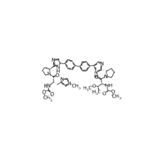 COC(=O)N[C@@H](Cc1cn(C)cn1)C(=O)N1CCC[C@H]1c1ncc(-c2ccc(-c3ccc(-c4cnc([C@@H]5CCCN5C(=O)[C@@H](NC(=O)OC)[C@@H](C)OC)[nH]4)cc3)cc2)[nH]1